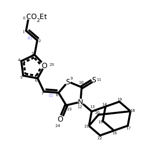 CCOC(=O)/C=C/c1ccc(/C=C2\SC(=S)N(C3C4CC5CC(C4)CC3C5)C2=O)o1